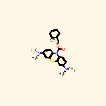 CN(C)c1ccc2c(c1)Sc1cc(N(C)C)ccc1N2C(=O)OCc1ccccc1[N+](=O)[O-]